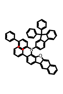 c1ccc(-c2ccc(N(c3ccc4c(c3)C(c3ccccc3)(c3ccccc3)c3ccccc3-4)c3c(-c4ccccc4)ccc4c3oc3cc5ccccc5cc34)cc2)cc1